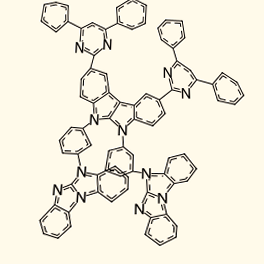 c1ccc(-c2cc(-c3ccccc3)nc(-c3ccc4c(c3)c3c5cc(-c6nc(-c7ccccc7)cc(-c7ccccc7)n6)ccc5n(-c5cccc(-n6c7ccccc7n7c8ccccc8nc67)c5)c3n4-c3cccc(-n4c5ccccc5n5c6ccccc6nc45)c3)n2)cc1